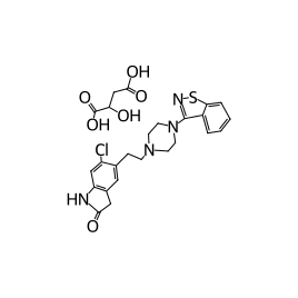 O=C(O)CC(O)C(=O)O.O=C1Cc2cc(CCN3CCN(c4nsc5ccccc45)CC3)c(Cl)cc2N1